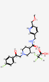 COCc1ccc(CNC(=O)C2CCN(CC(=O)c3ccc(F)cc3)CC2)cn1.O=C(O)C(F)(F)F